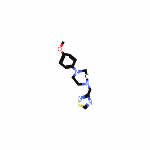 COc1ccc(N2CCN(Cc3ncsn3)CC2)cc1